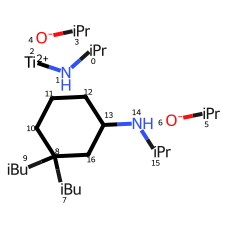 CC(C)[NH][Ti+2].CC(C)[O-].CC(C)[O-].CCC(C)C1(C(C)CC)CCCC(NC(C)C)C1